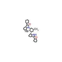 Cc1cc(-c2cccc3c2[nH]c2oc4ccccc4c23)c2c(c1)-n1c3oc4ccccc4c3c3cccc(c31)B2